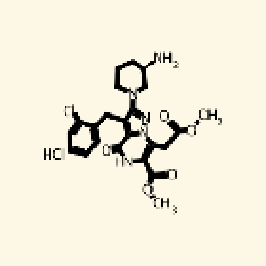 COC(=O)Cc1c(C(=O)OC)[nH]c(=O)c2c(Cc3ccccc3Cl)c(N3CCC[C@@H](N)C3)nn12.Cl